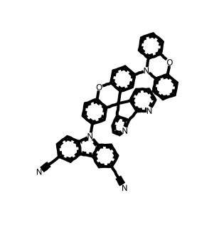 N#Cc1ccc2c(c1)c1cc(C#N)ccc1n2-c1ccc2c(c1)C1(c3cc(N4c5ccccc5Oc5ccccc54)ccc3O2)c2cccnc2-c2ncccc21